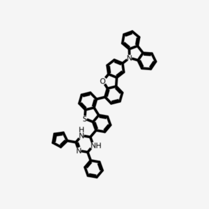 C1=CC=C(C2=NC(c3ccccc3)NC(c3cccc4c3sc3cccc(-c5cccc6c5oc5ccc(-n7c8ccccc8c8ccccc87)cc56)c34)N2)C=1